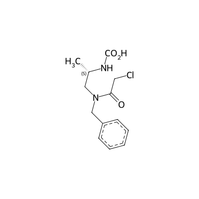 C[C@@H](CN(Cc1ccccc1)C(=O)CCl)NC(=O)O